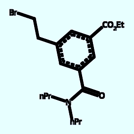 CCCN(CCC)C(=O)c1cc(CCBr)cc(C(=O)OCC)c1